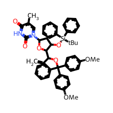 C=CC(OC(c1ccccc1)(c1ccc(OC)cc1)c1ccc(OC)cc1)C1OC(n2cc(C)c(=O)[nH]c2=O)CC1O[Si](c1ccccc1)(c1ccccc1)C(C)(C)C